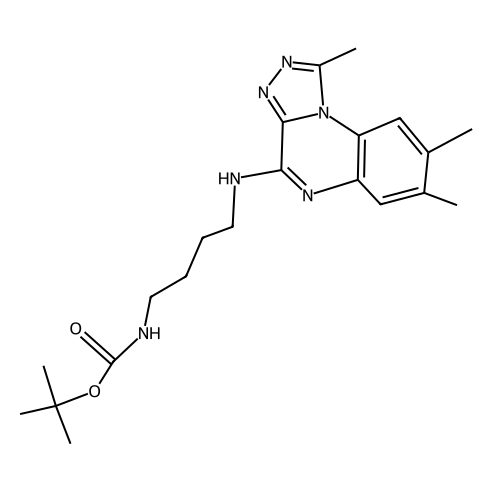 Cc1cc2nc(NCCCCNC(=O)OC(C)(C)C)c3nnc(C)n3c2cc1C